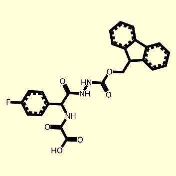 O=C(NNC(=O)C(NC(=O)C(=O)O)c1ccc(F)cc1)OCC1c2ccccc2-c2ccccc21